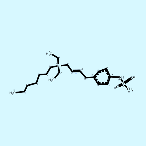 CCCCCCC[N+](CC)(CC)C/C=C/Cc1ccc(NS(C)(=O)=O)cc1